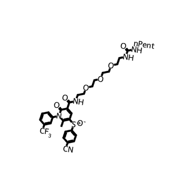 CCCCCNC(=O)NCCOCCOCCOCCNC(=O)c1cc([S+]([O-])c2ccc(C#N)cc2)c(C)n(-c2cccc(C(F)(F)F)c2)c1=O